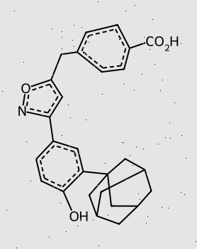 O=C(O)c1ccc(Cc2cc(-c3ccc(O)c(C45CC6CC(CC(C6)C4)C5)c3)no2)cc1